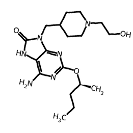 CCC[C@H](C)Oc1nc(N)c2[nH]c(=O)n(CC3CCN(CCO)CC3)c2n1